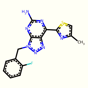 Cc1csc(-c2nc(N)nc3c2nnn3Cc2ccccc2F)n1